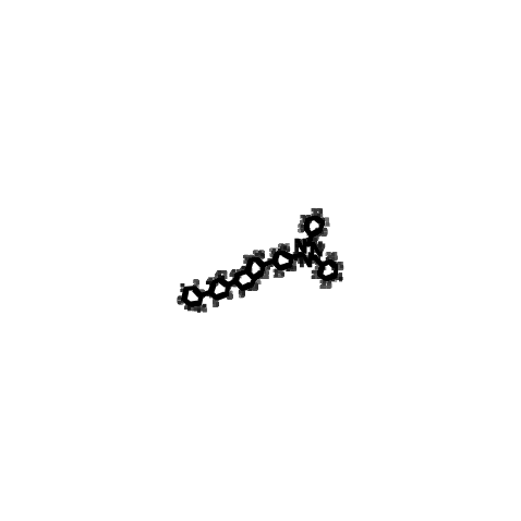 c1ccc(-c2ccc(-c3ccc4cc(-c5ccc(-c6nc(-c7ccccc7)nc(-c7ccccc7)n6)cc5)ccc4c3)cc2)cc1